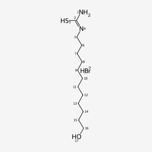 Br.NC(S)=NCCCCCCCCCCCCO